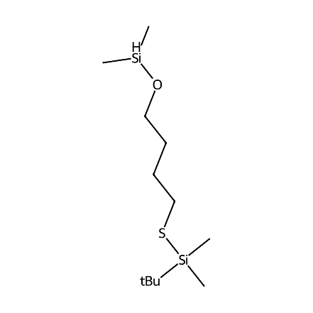 C[SiH](C)OCCCCS[Si](C)(C)C(C)(C)C